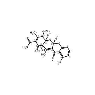 CN[C@@H]1C(C)=C(C(N)=O)C(=O)[C@@]2(O)C(O)=C3C(=O)c4c(O)cccc4C[C@H]3C[C@@H]12